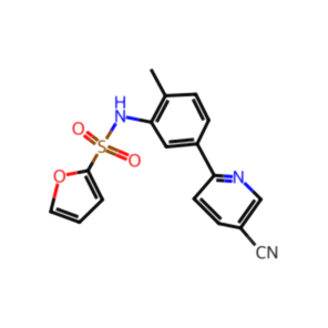 Cc1ccc(-c2ccc(C#N)cn2)cc1NS(=O)(=O)c1ccco1